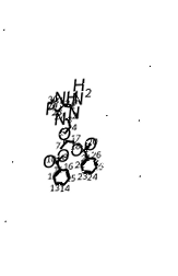 Nc1nc(COC(COC(=O)c2ccccc2)COC(=O)c2ccccc2)nc2pc[nH]c12